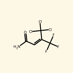 NC(=O)C=C(C(F)(F)F)C(Cl)(Cl)Cl